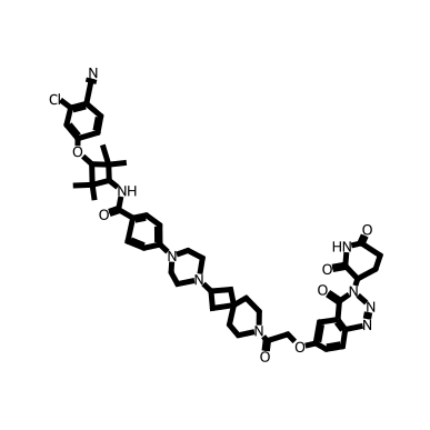 CC1(C)C(NC(=O)c2ccc(N3CCN(C4CC5(CCN(C(=O)COc6ccc7nnn(C8CCC(=O)NC8=O)c(=O)c7c6)CC5)C4)CC3)cc2)C(C)(C)C1Oc1ccc(C#N)c(Cl)c1